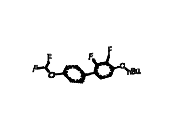 CCCCOc1ccc(-c2ccc(OC(F)F)cc2)c(F)c1F